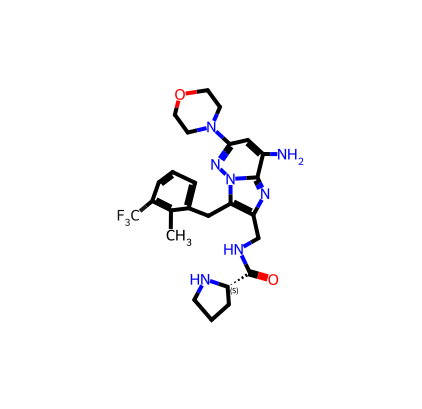 Cc1c(Cc2c(CNC(=O)[C@@H]3CCCN3)nc3c(N)cc(N4CCOCC4)nn23)cccc1C(F)(F)F